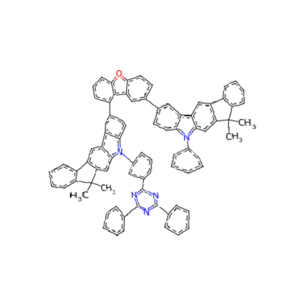 CC1(C)c2ccccc2-c2cc3c4cc(-c5ccc6oc7cccc(-c8ccc9c(c8)c8cc%10c(cc8n9-c8cccc(-c9nc(-c%11ccccc%11)nc(-c%11ccccc%11)n9)c8)C(C)(C)c8ccccc8-%10)c7c6c5)ccc4n(-c4ccccc4)c3cc21